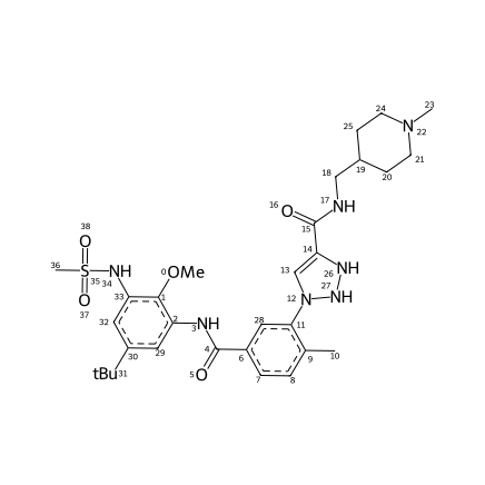 COc1c(NC(=O)c2ccc(C)c(N3C=C(C(=O)NCC4CCN(C)CC4)NN3)c2)cc(C(C)(C)C)cc1NS(C)(=O)=O